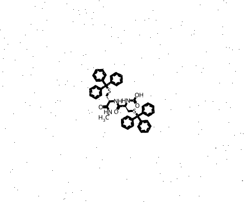 CNC(=O)[C@H](CSC(c1ccccc1)(c1ccccc1)c1ccccc1)NC(=O)[C@H](CSC(c1ccccc1)(c1ccccc1)c1ccccc1)NC(=O)O